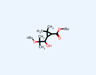 CCCCOC(C)(C)C(O)C1C(C(=O)OC(C)(C)C)C1(C)C